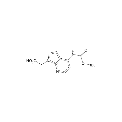 CC(C)(C)OC(=O)Nc1ccnc2c1ccn2CC(=O)O